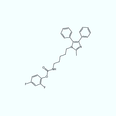 Cc1nc(-c2ccccc2)c(-c2ccccc2)n1CCCCCNC(=O)Oc1ccc(F)cc1F